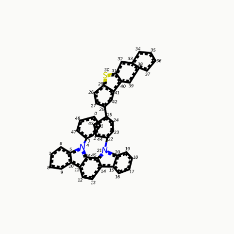 c1ccc(-n2c3ccccc3c3ccc4c5ccccc5n(-c5ccc(-c6ccc7sc8cc9ccccc9cc8c7c6)cc5)c4c32)cc1